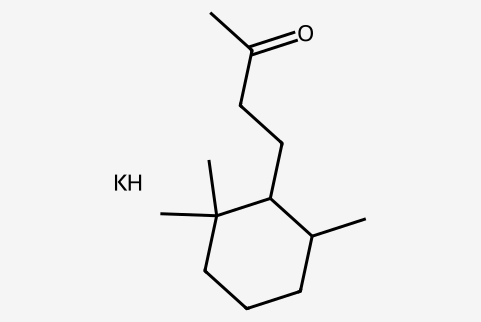 CC(=O)CCC1C(C)CCCC1(C)C.[KH]